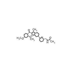 COc1ccc(C(=O)c2oc3cc(-c4cccc(CNC(C)=O)n4)ccc3c2C)c(OC)c1